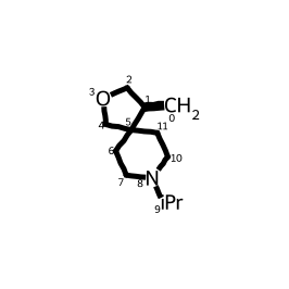 C=C1COCC12CCN(C(C)C)CC2